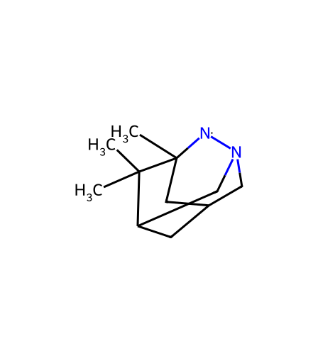 CC12CC3CC(CN(C3)[N]1)C2(C)C